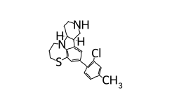 Cc1ccc(-c2cc3c4c(c2)[C@@H]2CNCC[C@@H]2N4CCCS3)c(Cl)c1